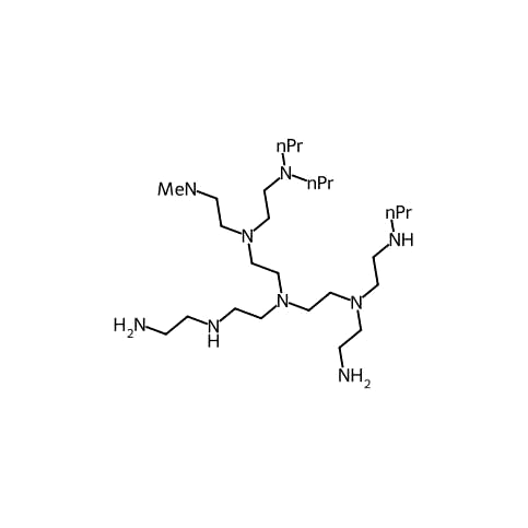 CCCNCCN(CCN)CCN(CCNCCN)CCN(CCNC)CCN(CCC)CCC